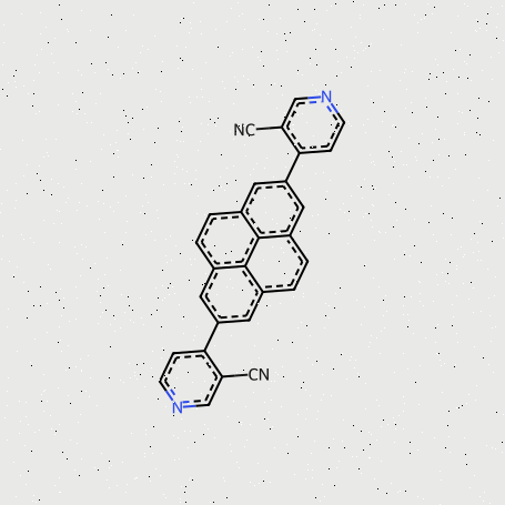 N#Cc1cnccc1-c1cc2ccc3cc(-c4ccncc4C#N)cc4ccc(c1)c2c34